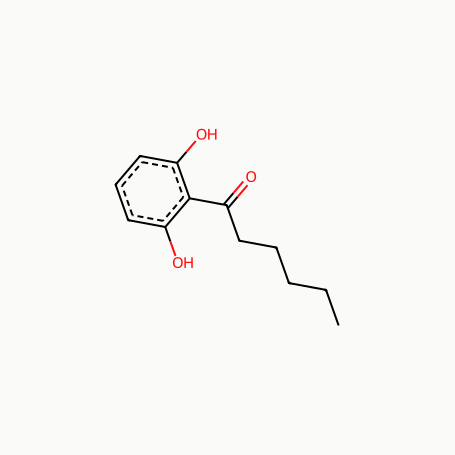 CCCCCC(=O)c1c(O)cccc1O